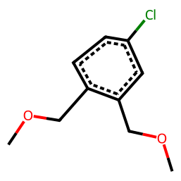 COCc1ccc(Cl)cc1COC